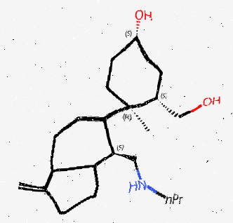 C=C1CCC2C1CCC([C@@]1(C)CC[C@H](O)C[C@@H]1CO)[C@H]2CNCCC